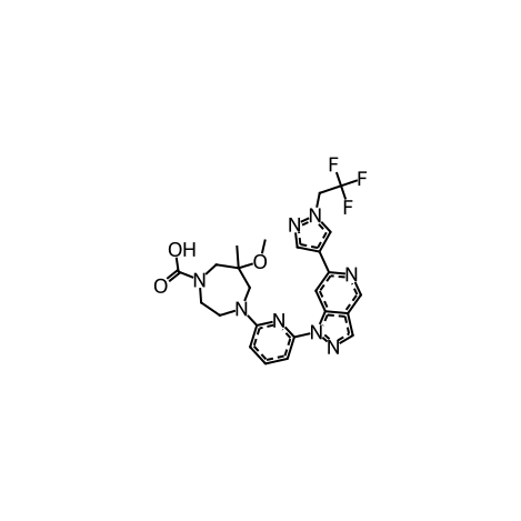 COC1(C)CN(C(=O)O)CCN(c2cccc(-n3ncc4cnc(-c5cnn(CC(F)(F)F)c5)cc43)n2)C1